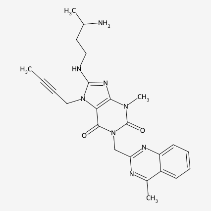 CC#CCn1c(NCCC(C)N)nc2c1c(=O)n(Cc1nc(C)c3ccccc3n1)c(=O)n2C